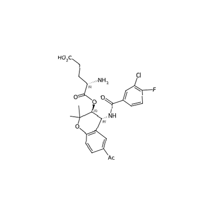 CC(=O)c1ccc2c(c1)[C@@H](NC(=O)c1ccc(F)c(Cl)c1)[C@H](OC(=O)[C@@H](N)CCC(=O)O)C(C)(C)O2